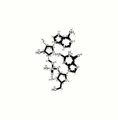 Nc1nc2c(ncn2[C@@H]2OC(CO)[C@H](F)[C@H]2O[P@](=O)(S)OC[C@H]2O[C@@H](n3cnc4c(N)ncnc43)[C@@H](F)[C@@H]2O)c(=O)[nH]1